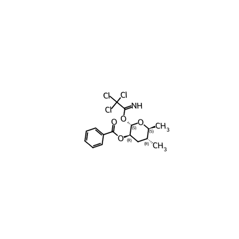 C[C@@H]1C[C@@H](OC(=O)c2ccccc2)[C@H](OC(=N)C(Cl)(Cl)Cl)O[C@H]1C